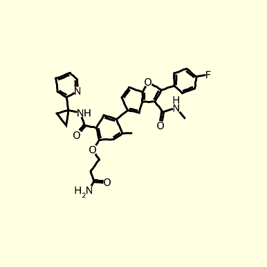 CNC(=O)c1c(-c2ccc(F)cc2)oc2ccc(-c3cc(C(=O)NC4(c5ccccn5)CC4)c(OCCC(N)=O)cc3C)cc12